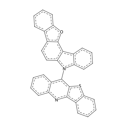 c1ccc2c(-n3c4ccccc4c4c5oc6ccccc6c5ccc43)c3sc4ccccc4c3nc2c1